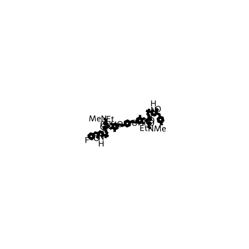 CC[C@H](NC)C(=O)N[C@@H](Cc1c(C)cc(OCc2ccc(COc3cc(C)c(C[C@H](NC(=O)[C@H](CC)NC)C(=O)N4CC(C)(C)c5[nH]c(=O)c(Cc6ccc(F)cc6)cc54)c(C)c3)cc2)cc1C)C(=O)N1CC(C)(C)c2[nH]c(=O)c(Cc3ccc(F)cc3)cc21